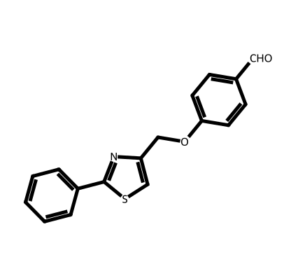 O=Cc1ccc(OCc2csc(-c3ccccc3)n2)cc1